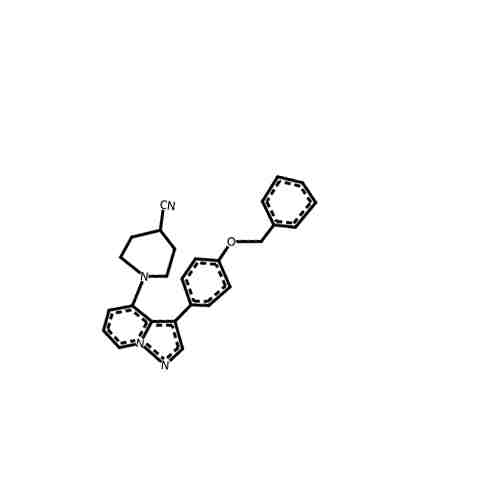 N#CC1CCN(c2cccn3ncc(-c4ccc(OCc5ccccc5)cc4)c23)CC1